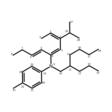 C\C=C(/C=C(\C=C\CC)N(CC(CCC)CCCC)c1ccc(C)cc1)C(C)C